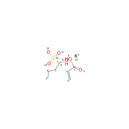 C=CC(=O)O.CCCC(O)S(=O)(=O)[O-].[K+]